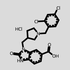 Cl.O=C(O)c1ccc2[nH]c(=O)n(CC3CCN(Cc4ccc(Cl)cc4Cl)C3)c2c1